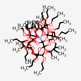 CCCOC(OCCC)C(OCCC)(OCCC)OC(OCC)(OCC)C(OC(OCCC)(OCCC)C(OCCC)(OCCC)OCCC)(OC(OCCC)(OCCC)C(OCCC)(OCCC)OCCC)N(OC(OCCC)(OCCC)C(OCCC)(OCCC)OCCC)C(OCC)(OCC)C(OCC)(OCC)OCCC